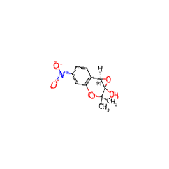 CC1(C)Oc2cc([N+](=O)[O-])ccc2[C@H]2OC21O